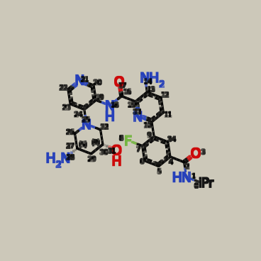 CC(C)NC(=O)c1ccc(F)c(-c2ccc(N)c(C(=O)Nc3cnccc3N3C[C@@H](N)C[C@@H](O)C3)n2)c1